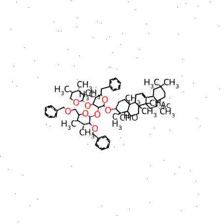 CC(=O)[C@]12CCC(C)(C)CC1C1=CCC3C4(C)CC[C@H](O[C@@H]5OC(Cc6ccccc6)[C@@H](C)[C@H](O[C@@H]6OC[C@@H](C)[C@H](C)C6C)C5O[C@@H]5OC(COCc6ccccc6)[C@H](C)[C@H](C)C5OCc5ccccc5)C(C)(C=O)[C@@H]4CCC3(C)C1(C)C[C@H]2C